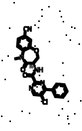 CN1C(=O)[C@@H](NC(=O)c2ncc(Cl)c(-c3ccccc3)n2)COc2cc(C#N)ccc21